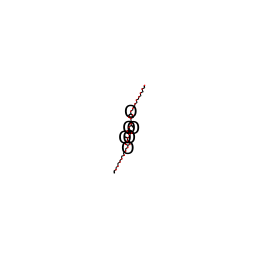 C=CCCCCCCCCCCCCOc1ccc(C#CC(=O)Oc2ccc(OC(=O)C3CCC(OCCCCCCCCCCCCC=C)CC3)cc2)cc1